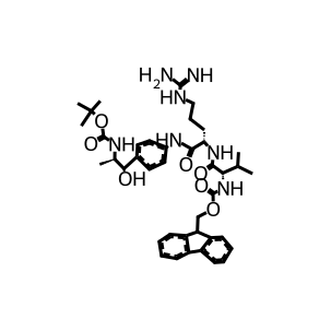 CC(C)[C@H](NC(=O)OCC1c2ccccc2-c2ccccc21)C(=O)N[C@@H](CCCNC(=N)N)C(=O)Nc1ccc([C@H](O)[C@@H](C)NC(=O)OC(C)(C)C)cc1